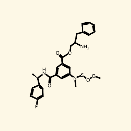 COOSN(C)c1cc(C(=O)N[C@H](C)c2ccc(F)cc2)cc(C(=O)OCC(N)Cc2ccccc2)c1